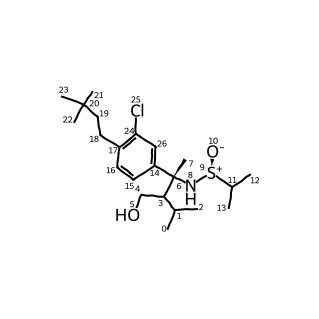 CC(C)C(CO)[C@@](C)(N[S@@+]([O-])C(C)C)c1ccc(CCC(C)(C)C)c(Cl)c1